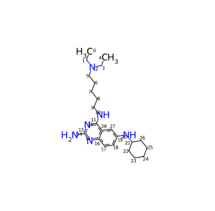 CCN(CC)CCCCCNc1nc(N)nc2ccc(NC3CCCCC3)cc12